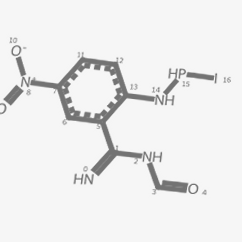 N=C(NC=O)c1cc([N+](=O)[O-])ccc1NPI